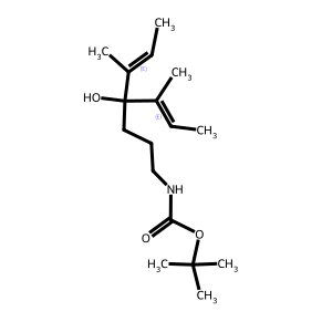 C/C=C(\C)C(O)(CCCNC(=O)OC(C)(C)C)/C(C)=C/C